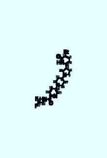 CCc1ccc(C2CCN(C3CCN(c4ccc(C(=O)NCC(F)F)nc4)CC3)C2)[nH]c1=O